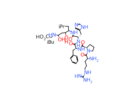 CC[C@H](C)[C@H](NC(O)CC(O)C(CC(C)C)NC(=O)[C@H](Cc1cnc[nH]1)NC(=O)[C@H](Cc1ccccc1)NC(=O)[C@H]1CCCN1C(=O)[C@@H](N)CCCNC(=N)N)C(=O)O